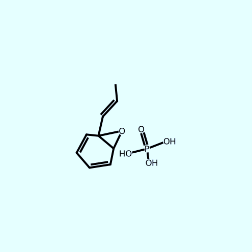 CC=CC12C=CC=CC1O2.O=P(O)(O)O